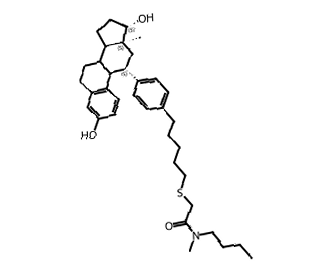 CCCCN(C)C(=O)CSCCCCCc1ccc([C@H]2C[C@@]3(C)C(CC[C@@H]3O)C3CCc4cc(O)ccc4C32)cc1